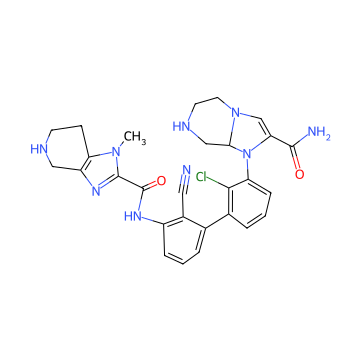 Cn1c(C(=O)Nc2cccc(-c3cccc(N4C(C(N)=O)=CN5CCNCC54)c3Cl)c2C#N)nc2c1CCNC2